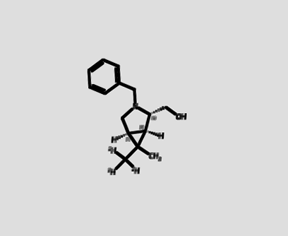 [2H]C([2H])([2H])C1(C)[C@@H]2[C@@H](CO)N(Cc3ccccc3)C[C@@H]21